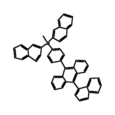 C[Si](c1ccc(-c2c3ccccc3c(-c3cccc4ccccc34)c3ccccc23)cc1)(c1ccc2ccccc2c1)c1ccc2ccccc2c1